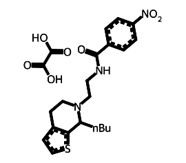 CCCCC1c2sccc2CCN1CCNC(=O)c1ccc([N+](=O)[O-])cc1.O=C(O)C(=O)O